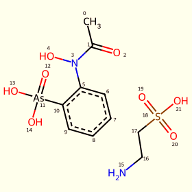 CC(=O)N(O)c1ccccc1[As](=O)(O)O.NCCS(=O)(=O)O